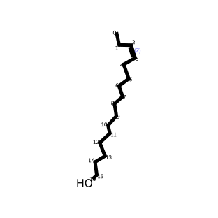 CC/C=C\CCCCCCCCCCCCO